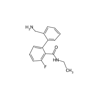 CCNC(=O)c1c(F)cccc1-c1ccccc1CN